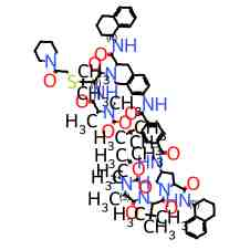 CC(C(=O)N[C@H](C(=O)N1Cc2cc(NC(=O)c3ccc(C(=O)NC4CC(C(=O)N[C@@H]5CCCc6ccccc65)N(C(=O)C(NC(=O)[C@H](C)N(C)C(=O)OC(C)(C)C)C(C)(C)C)C4)cc3)ccc2CC1C(=O)N[C@@H]1CCCc2ccccc21)C(C)(C)SCC(=O)N1CCCCC1)N(C)C(=O)OC(C)(C)C